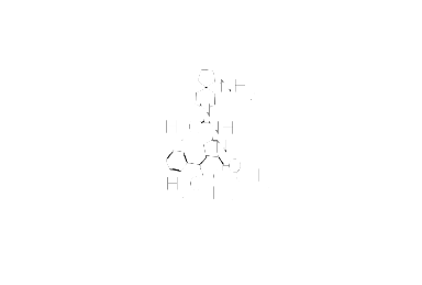 C=C/C(=C1/CC(NC(=C)N2CCC3(CCC[C@@H]3N)CC2)=N/C1=C(/C)OC)c1ccccc1